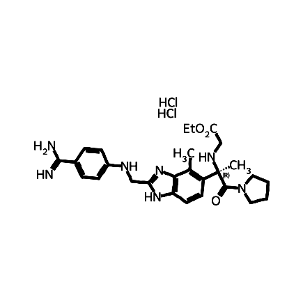 CCOC(=O)CN[C@@](C)(C(=O)N1CCCC1)c1ccc2[nH]c(CNc3ccc(C(=N)N)cc3)nc2c1C.Cl.Cl